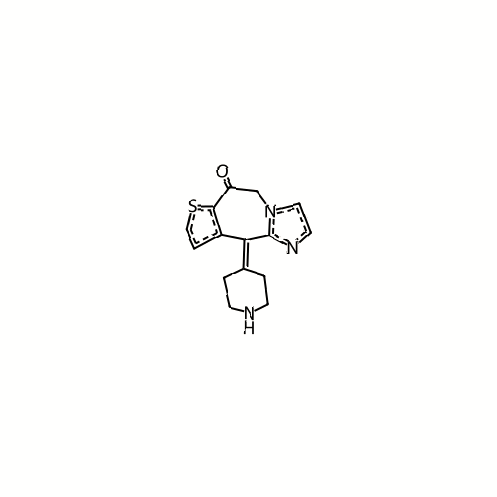 O=C1Cn2ccnc2C(=C2CCNCC2)c2ccsc21